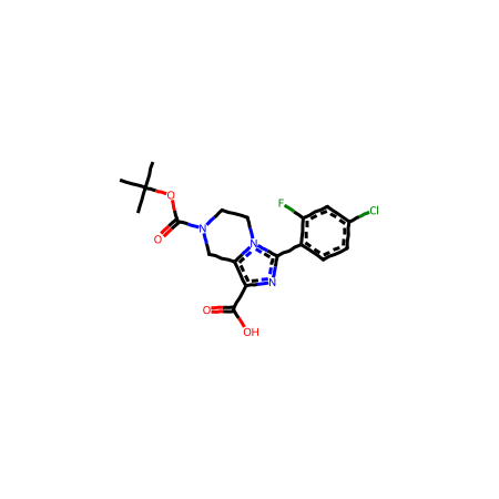 CC(C)(C)OC(=O)N1CCn2c(-c3ccc(Cl)cc3F)nc(C(=O)O)c2C1